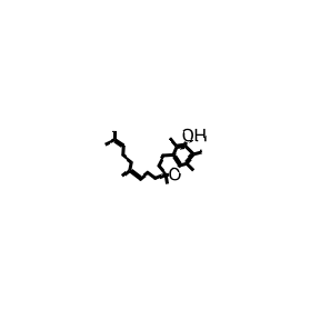 CC(C)=CCCC(C)=CCCC1(C)CCc2c(C)c(O)c(C)c(C)c2O1